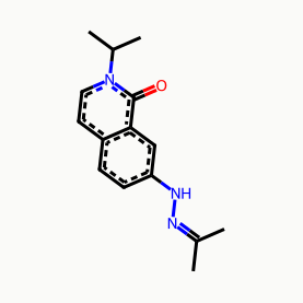 CC(C)=NNc1ccc2ccn(C(C)C)c(=O)c2c1